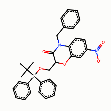 CC(C)(C)[Si](OCC1Oc2cc([N+](=O)[O-])ccc2N(Cc2ccccc2)C1=O)(c1ccccc1)c1ccccc1